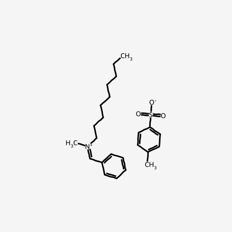 CCCCCCCCC[N+](C)=Cc1ccccc1.Cc1ccc(S(=O)(=O)[O-])cc1